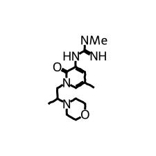 CNC(=N)Nc1cc(C)cn(CC(C)N2CCOCC2)c1=O